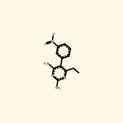 CCc1nc(N)nc(N)c1-c1cccc([N+](=O)[O-])c1